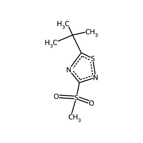 CC(C)(C)c1nc(S(C)(=O)=O)ns1